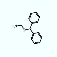 NCOC(c1ccccc1)c1ccccn1